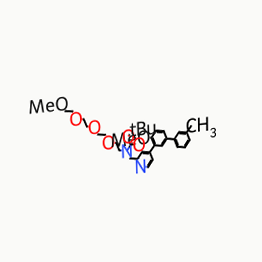 COCCOCCOCCOCCN(Cc1cc(-c2cc(-c3cccc(C)c3)ccc2OC)ccn1)C(=O)OC(C)(C)C